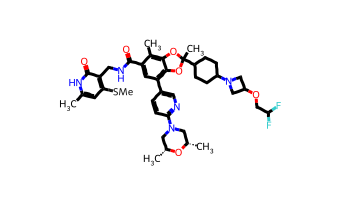 CSc1cc(C)[nH]c(=O)c1CNC(=O)c1cc(-c2ccc(N3C[C@@H](C)O[C@@H](C)C3)nc2)c2c(c1C)OC(C)(C1CCC(N3CC(OCC(F)F)C3)CC1)O2